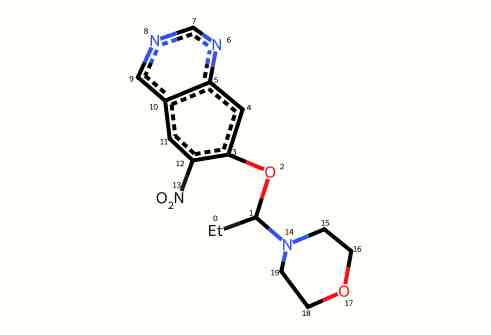 CCC(Oc1cc2ncncc2cc1[N+](=O)[O-])N1CCOCC1